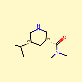 CC(C)[C@@H]1CNC[C@H](C(=O)N(C)C)C1